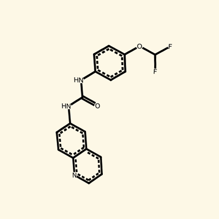 O=C(Nc1ccc(OC(F)F)cc1)Nc1ccc2ncccc2c1